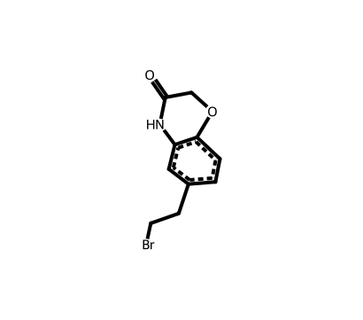 O=C1COc2ccc(CCBr)cc2N1